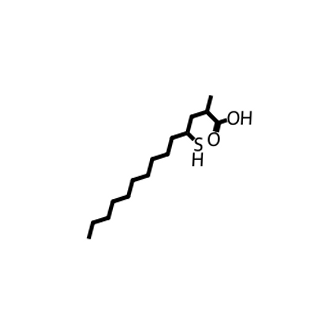 CCCCCCCCCCC(S)CC(C)C(=O)O